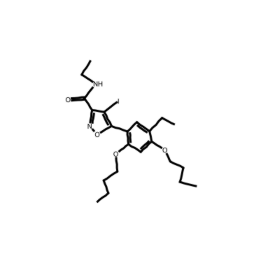 CCCCOc1cc(OCCCC)c(-c2onc(C(=O)NCC)c2I)cc1CC